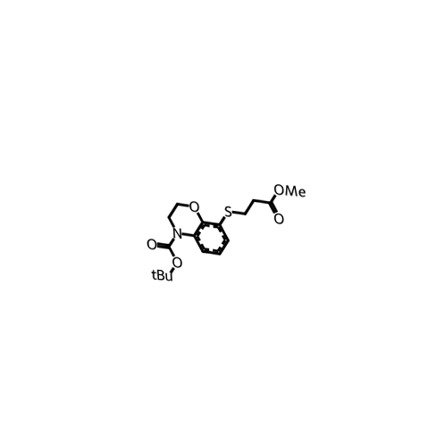 COC(=O)CCSc1cccc2c1OCCN2C(=O)OC(C)(C)C